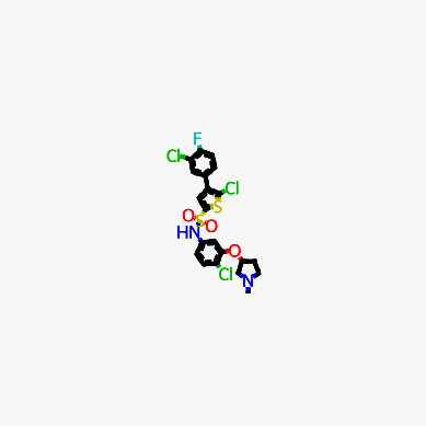 CN1CCC(Oc2cc(NS(=O)(=O)c3cc(-c4ccc(F)c(Cl)c4)c(Cl)s3)ccc2Cl)C1